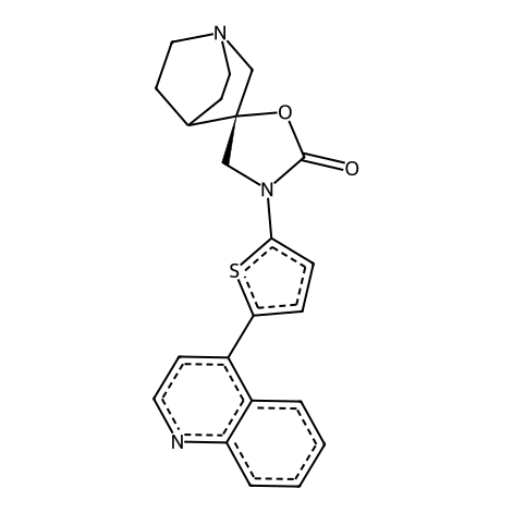 O=C1O[C@]2(CN3CCC2CC3)CN1c1ccc(-c2ccnc3ccccc23)s1